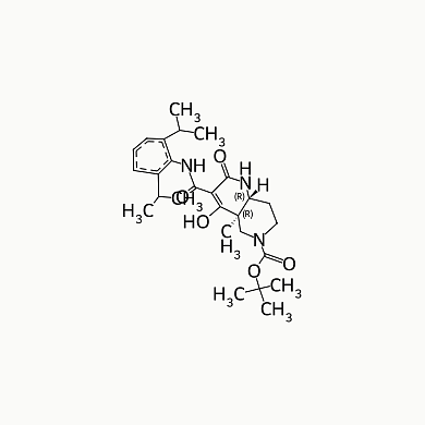 CC(C)c1cccc(C(C)C)c1NC(=O)C1=C(O)[C@]2(C)CN(C(=O)OC(C)(C)C)CC[C@H]2NC1=O